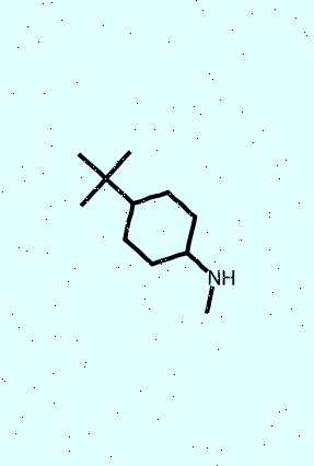 CNC1CCC(C(C)(C)C)CC1